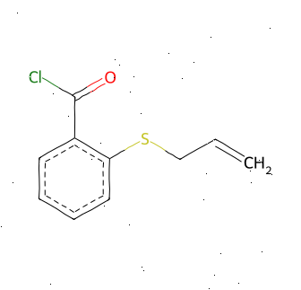 C=CCSc1ccccc1C(=O)Cl